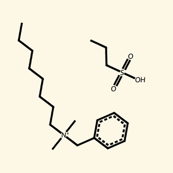 CCCCCCCC[N+](C)(C)Cc1ccccc1.CCCS(=O)(=O)O